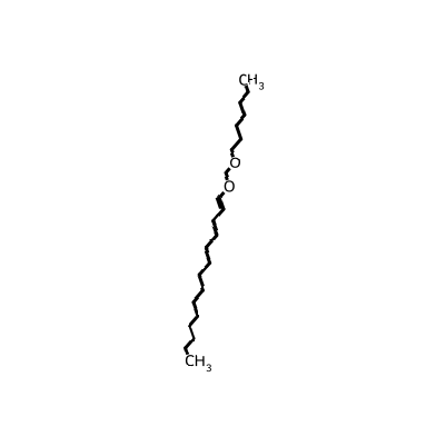 CCCCCCCCCCCCC=COCOCCCCCCC